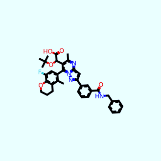 Cc1nc2cc(-c3cccc(C(=O)NCc4ccccc4)c3)nn2c(-c2cc(F)c3c(c2C)CCCO3)c1C(OC(C)(C)C)C(=O)O